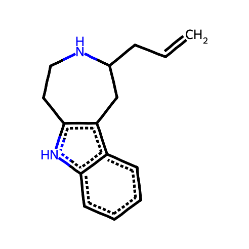 C=CCC1Cc2c([nH]c3ccccc23)CCN1